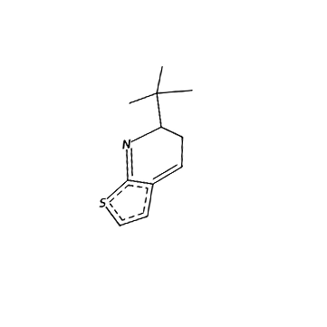 CC(C)(C)C1CC=c2ccsc2=N1